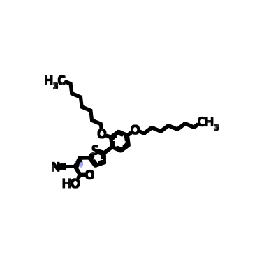 CCCCCCCCOc1ccc(-c2ccc(/C=C(/C#N)C(=O)O)s2)c(OCCCCCCCC)c1